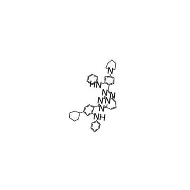 C1=CC2=NC(c3ccc(C4CCCCC4)cc3Nc3ccccc3)=NC3=NC(c4ccc(N5CCCCC5)cc4Nc4ccccc4)=NC(=C1)N23